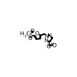 CS(=O)(=O)c1ccc(Cn2ncc([N+](=O)[O-])n2)o1